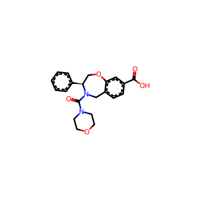 O=C(O)c1ccc2c(c1)OC[C@H](c1ccccc1)N(C(=O)N1CCOCC1)C2